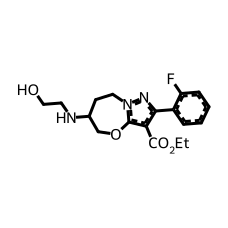 CCOC(=O)c1c(-c2ccccc2F)nn2c1OCC(NCCO)CC2